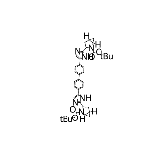 CC(C)(C)OC(=O)N1C(c2ncc(-c3ccc(-c4ccc(-c5cnc(C6C[C@@H]7C[C@@H]7N6C(=O)OC(C)(C)C)[nH]5)cc4)cc3)[nH]2)C[C@@H]2C[C@@H]21